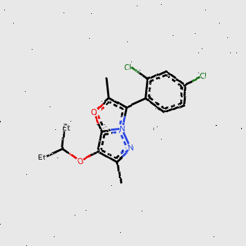 CCC(CC)Oc1c(C)nn2c(-c3ccc(Cl)cc3Cl)c(C)oc12